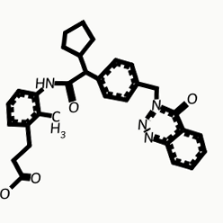 Cc1c(CCC(=O)O)cccc1NC(=O)C(c1ccc(Cn2nnc3ccccc3c2=O)cc1)C1CCCC1